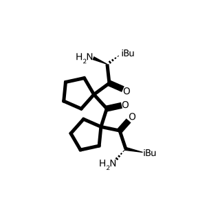 CC[C@H](C)[C@H](N)C(=O)C1(C(=O)C2(C(=O)[C@@H](N)[C@@H](C)CC)CCCC2)CCCC1